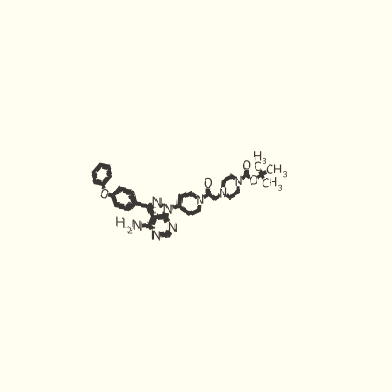 CC(C)(C)OC(=O)N1CCN(CC(=O)N2CCC(n3nc(-c4ccc(Oc5ccccc5)cc4)c4c(N)ncnc43)CC2)CC1